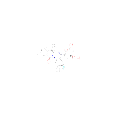 Cc1cc(-n2c(/C=C/[C@@H]3C[C@@H](O)CC(=O)O3)c(C(C)C)c3ccccc3c2=O)ccc1F